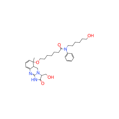 CC1(OCCCCCCC(=O)N(CCCCCCO)c2ccccc2)C=CC=C2N=C3NC(=O)C(CO)N3CC21